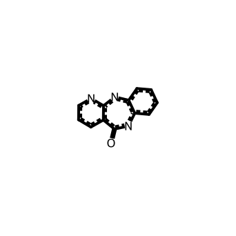 O=c1nc2ccccc2nc2ncccc12